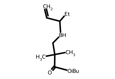 C=CC(BCC(C)(C)C(=O)OCC(C)C)CC